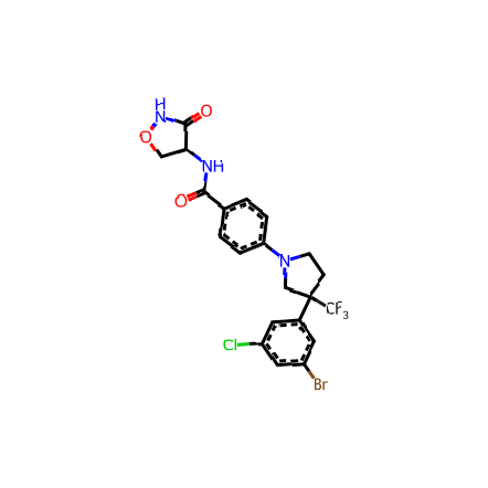 O=C(NC1CONC1=O)c1ccc(N2CCC(c3cc(Cl)cc(Br)c3)(C(F)(F)F)C2)cc1